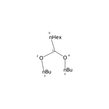 CCCCCCC(OCCCC)OCCCC